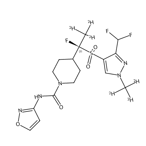 [2H]C([2H])([2H])n1cc(S(=O)(=O)[C@](F)(C2CCN(C(=O)Nc3ccon3)CC2)C([2H])([2H])[2H])c(C(F)F)n1